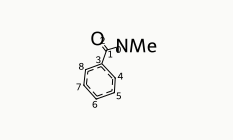 [C]NC(=O)c1ccccc1